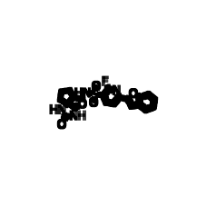 O=C1NC(=O)C2(CCCC2CNS(=O)(=O)c2ccc(-c3cc4ccccc4o3)nc2F)N1